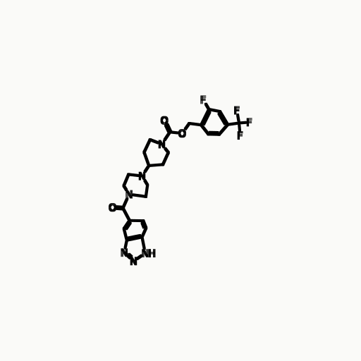 O=C(OCc1ccc(C(F)(F)F)cc1F)N1CCC(N2CCN(C(=O)c3ccc4[nH]nnc4c3)CC2)CC1